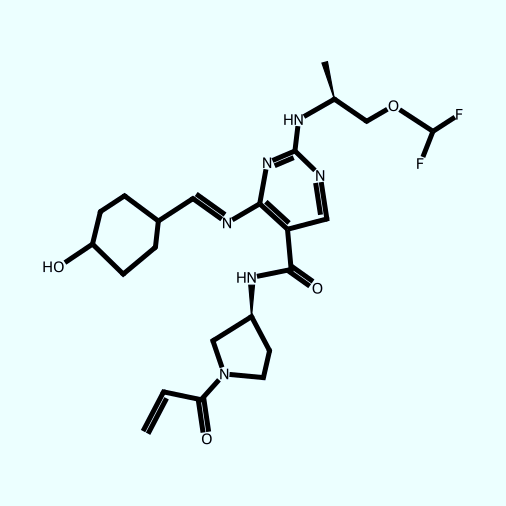 C=CC(=O)N1CC[C@H](NC(=O)c2cnc(N[C@@H](C)COC(F)F)nc2/N=C/C2CCC(O)CC2)C1